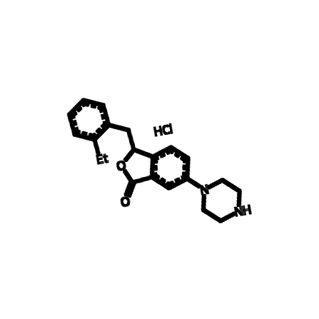 CCc1ccccc1CC1OC(=O)c2cc(N3CCNCC3)ccc21.Cl